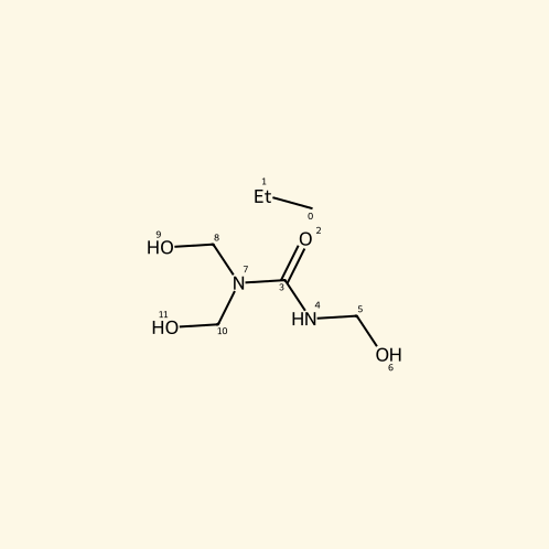 CCC.O=C(NCO)N(CO)CO